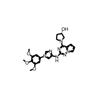 COc1cc(-n2cnc(Nc3nc(N4CC[C@H](O)C4)c4cccn4n3)c2)cc(OC)c1OC